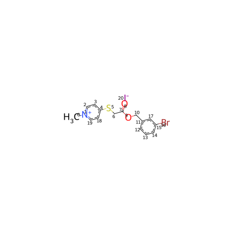 C[n+]1ccc(SCC(=O)OCc2cccc(Br)c2)cc1.[I-]